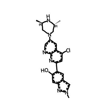 C[C@@H]1CN(c2cnc3nc(-c4cc5cn(C)nc5cc4O)cc(Cl)c3c2)C[C@@H](C)N1